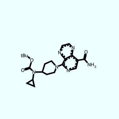 CC(C)(C)OC(=O)N(C1CC1)C1CCN(c2ncc(C(N)=O)c3nccnc23)CC1